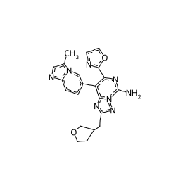 Cc1cnc2ccc(-c3c(-c4ncco4)nc(N)n4nc(CC5CCOC5)nc34)cn12